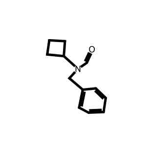 O=CN(Cc1ccccc1)C1CCC1